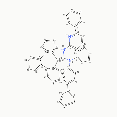 c1ccc(-c2ccc(N(c3ccccc3)c3c4c5c(cccc5n3-c3cccc(-c5ccccc5)n3)-c3ccccc3-c3ccccc3-4)cc2)cc1